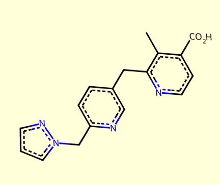 Cc1c(C(=O)O)ccnc1Cc1ccc(Cn2cccn2)nc1